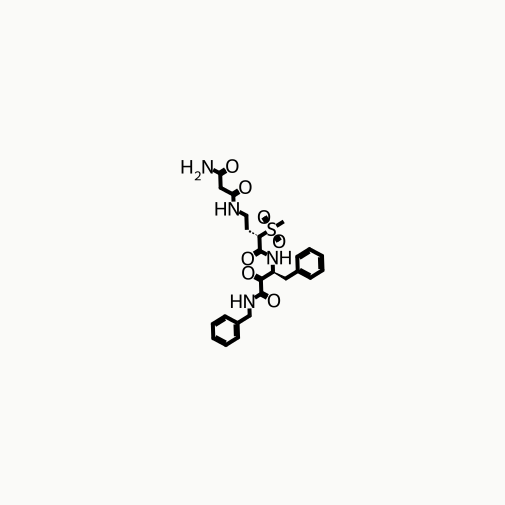 CS(=O)(=O)[C@@H](CCNC(=O)CC(N)=O)C(=O)N[C@@H](Cc1ccccc1)C(=O)C(=O)NCc1ccccc1